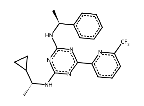 C[C@H](Nc1nc(N[C@H](C)C2CC2)nc(-c2cccc(C(F)(F)F)n2)n1)c1ccccc1